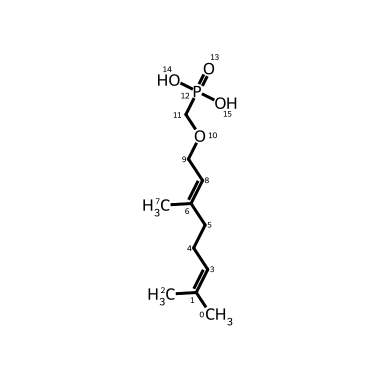 CC(C)=CCC/C(C)=C/COCP(=O)(O)O